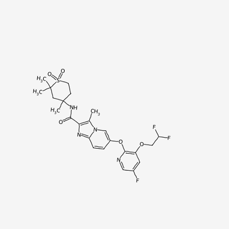 Cc1c(C(=O)NC2(C)CCS(=O)(=O)C(C)(C)C2)nc2ccc(Oc3ncc(F)cc3OCC(F)F)cn12